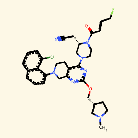 CN1CC[C@@H](COc2nc3c(c(N4CCN(C(=O)/C=C/CF)[C@@H](CC#N)C4)n2)CCN(c2cccc4cccc(Cl)c24)C3)C1